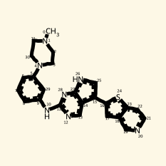 CN1CCN(c2cccc(Nc3ncc4c(-c5cc6cnccc6s5)c[nH]c4n3)c2)CC1